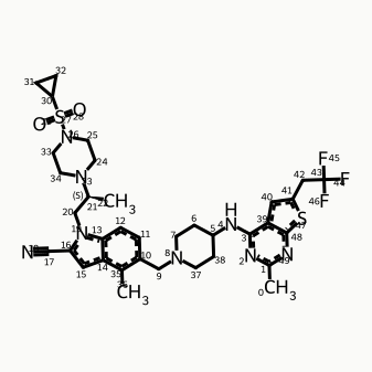 Cc1nc(NC2CCN(Cc3ccc4c(cc(C#N)n4C[C@H](C)N4CCN(S(=O)(=O)C5CC5)CC4)c3C)CC2)c2cc(CC(F)(F)F)sc2n1